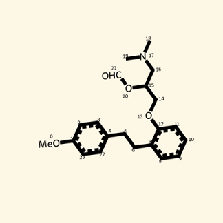 COc1ccc(CCc2ccccc2OCC(CN(C)C)OC=O)cc1